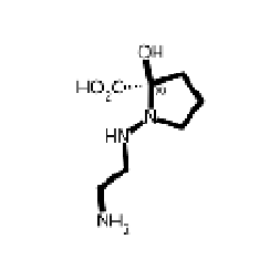 NCCNN1CCC[C@@]1(O)C(=O)O